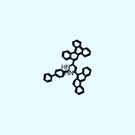 C1=C(c2c3ccccc3cc3c2ccc2ccccc23)NC(c2ccc(-c3ccccc3)cc2)NC1c1cc2c3ccccc3c3ccccc3c2c2ccccc12